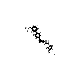 N[C@H]1CCN(CCNC2CC2c2ccc(-c3cccc(C(F)(F)F)c3)cc2)C1